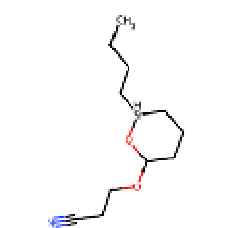 CCCC[SiH]1CCCC(OCCC#N)O1